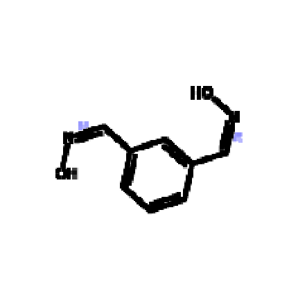 O/N=C\c1cccc(/C=N\O)c1